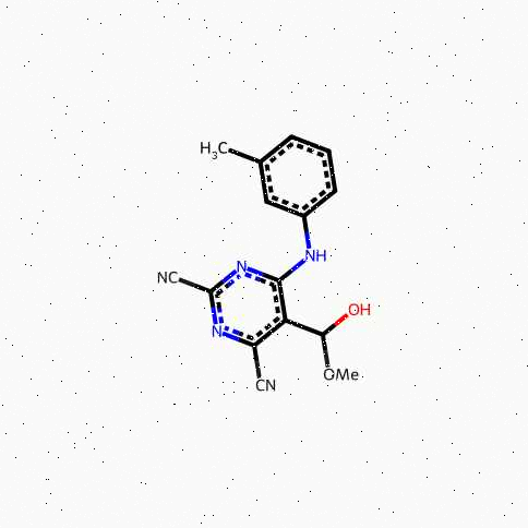 COC(O)c1c(C#N)nc(C#N)nc1Nc1cccc(C)c1